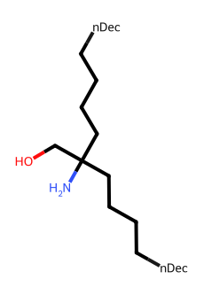 CCCCCCCCCCCCCCC(N)(CO)CCCCCCCCCCCCCC